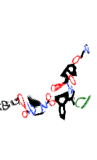 CN(C)CCOc1ccc2oc(C(=O)N3C[C@@H](CCl)c4c3cc(OC(=O)N3CCN(C(=O)OC(C)(C)C)CC3)c3ccccc43)cc2c1